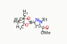 CCn1nc(B2OC(C)(C)C(C)(C)O2)cc1C(=O)OC